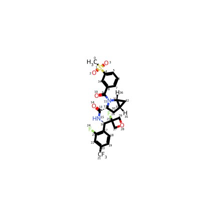 CS(=O)(=O)c1cccc(C(=O)N2[C@@H](C(=O)N[C@@H](c3ccc(C(F)(F)F)cc3F)C3(F)COC3)C[C@H]3C[C@H]32)c1